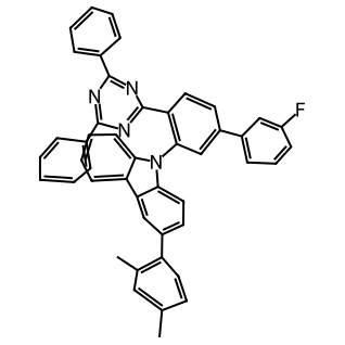 Cc1ccc(-c2ccc3c(c2)c2ccccc2n3-c2cc(-c3cccc(F)c3)ccc2-c2nc(-c3ccccc3)nc(-c3ccccc3)n2)c(C)c1